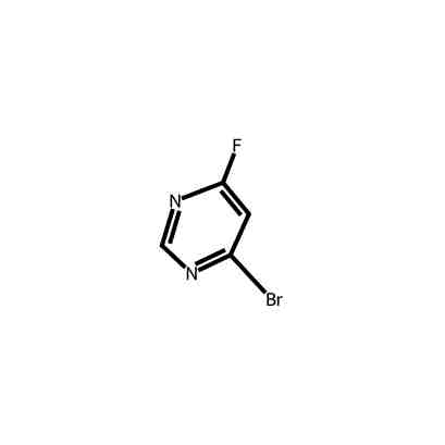 Fc1cc(Br)ncn1